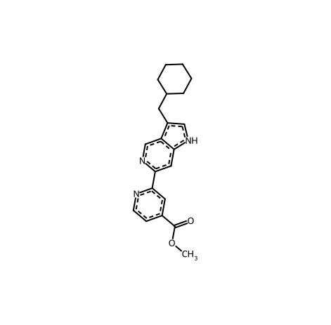 COC(=O)c1ccnc(-c2cc3[nH]cc(CC4CCCCC4)c3cn2)c1